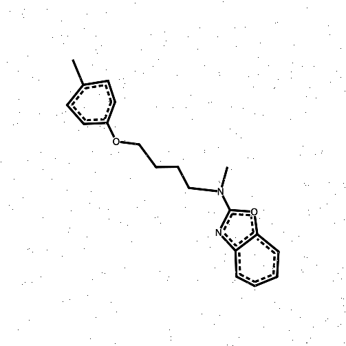 Cc1ccc(OCCCCN(C)c2nc3ccccc3o2)cc1